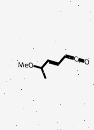 COC(C)/C=C/C=C=O